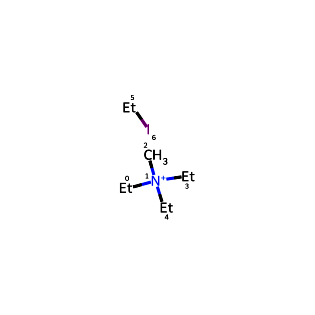 CC[N+](C)(CC)CC.[CH2]CI